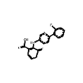 O=C(O)C1=C(Nc2ccc(-c3ccccc3F)nc2)C(=O)CC=C1